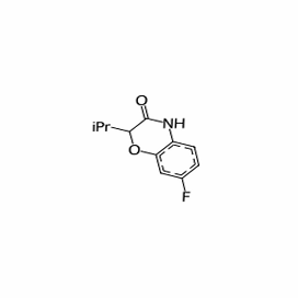 CC(C)C1Oc2cc(F)ccc2NC1=O